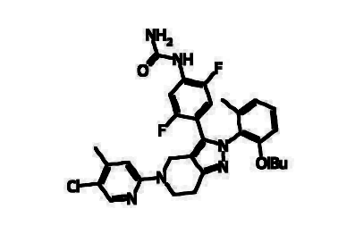 Cc1cc(N2CCc3nn(-c4c(C)cccc4OCC(C)C)c(-c4cc(F)c(NC(N)=O)cc4F)c3C2)ncc1Cl